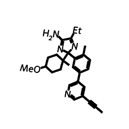 CC#Cc1cncc(-c2ccc(C)c(C3(C4(C)CCC(OC)CC4)N=C(N)C(CC)=N3)c2)c1